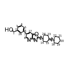 OCc1cccc(-c2cnc3nc(N4CCC(N5CCCCC5)CC4)oc3c2)c1